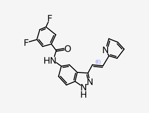 O=C(Nc1ccc2[nH]nc(/C=C/c3ccccn3)c2c1)c1cc(F)cc(F)c1